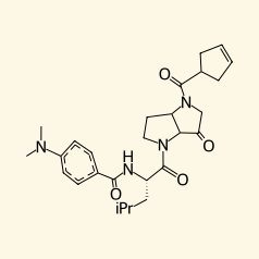 CC(C)C[C@H](NC(=O)c1ccc(N(C)C)cc1)C(=O)N1CCC2C1C(=O)CN2C(=O)C1CC=CC1